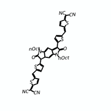 CCCCCCCCN1C(=O)C(c2ccc(/C=c3\ccc(=C(C#N)C#N)s3)s2)=C2C=C3C(C=C21)C(c1ccc(/C=c2\ccc(=C(C#N)C#N)s2)s1)C(=O)N3CCCCCCCC